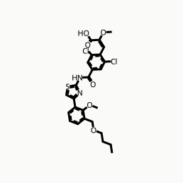 CCCCOCc1cccc(-c2csc(NC(=O)c3cc(Cl)c(/C=C(/OC)C(=O)O)c(Cl)c3)n2)c1OC